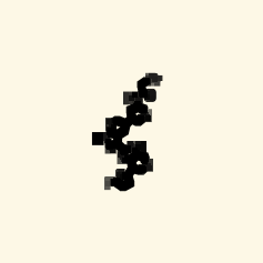 CC(C)CC(=O)Nc1cncc(-c2cnc3[nH]nc(-c4nc5c(-c6ccc(F)s6)cncc5[nH]4)c3c2)c1